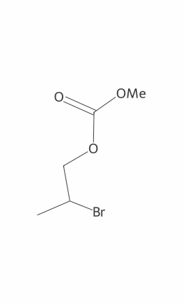 COC(=O)OCC(C)Br